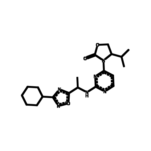 CC(Nc1nccc(N2C(=O)OCC2C(C)C)n1)c1nc(C2CCCCC2)no1